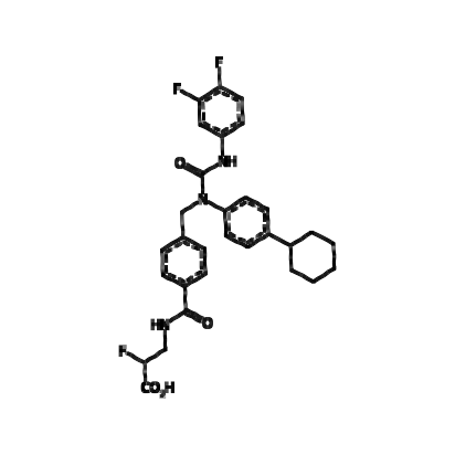 O=C(NCC(F)C(=O)O)c1ccc(CN(C(=O)Nc2ccc(F)c(F)c2)c2ccc(C3CCCCC3)cc2)cc1